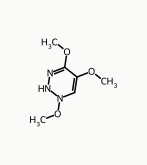 COC1=CN(OC)NN=C1OC